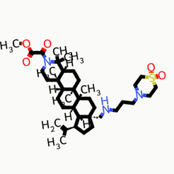 C=C(C)[C@@H]1CC[C@]2(CNCCCN3CCS(=O)(=O)CC3)CC[C@]3(C)[C@H](CC[C@@H]4[C@@]5(C)CCN(C(=O)C(=O)OC)C(C)(C)[C@@H]5CC[C@]43C)[C@@H]12